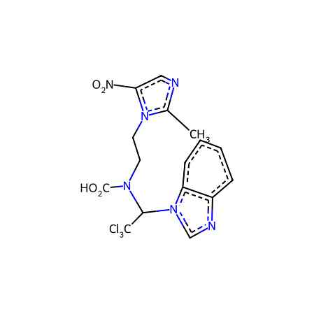 Cc1ncc([N+](=O)[O-])n1CCN(C(=O)O)C(n1cnc2ccccc21)C(Cl)(Cl)Cl